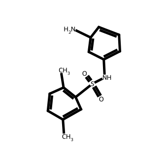 Cc1ccc(C)c(S(=O)(=O)Nc2cccc(N)c2)c1